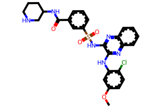 COc1ccc(Cl)c(Nc2nc3ccccc3nc2NS(=O)(=O)c2cccc(C(=O)NC3CCCNC3)c2)c1